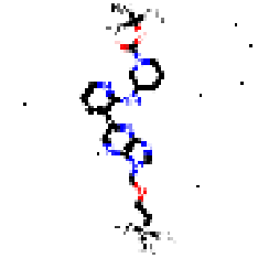 CC(C)(C)OC(=O)N1CCCC(Nc2ncccc2-c2cnc3c(ncn3COCC[Si](C)(C)C)n2)C1